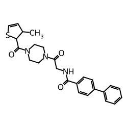 CC1C=CSC1C(=O)N1CCN(C(=O)CNC(=O)c2ccc(-c3ccccc3)cc2)CC1